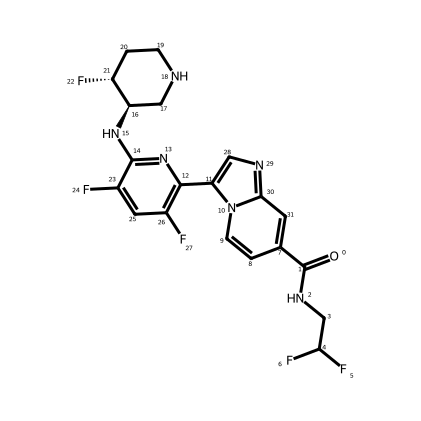 O=C(NCC(F)F)c1ccn2c(-c3nc(N[C@@H]4CNCC[C@H]4F)c(F)cc3F)cnc2c1